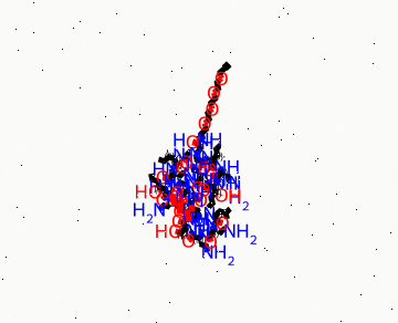 C#CCOCCOCCOCCOCCNC(=O)CN(CC(=O)N[C@H](C(=O)N[C@@H](CCN)C(=O)N[C@H](C(=O)N[C@@H](CCN)C(N)=O)[C@H](O)CCC)[C@@H](C)CC)CC(=O)N[C@H](C(=O)N[C@@H](CCN)C(=O)N[C@H](C(=O)N[C@@H](CCN)C(=O)N[C@@H](CCNC(=O)[C@@H](NC(=O)[C@H](CCN)NC(=O)[C@H](CCN)NC(=O)[C@@H](N)CC(C)C)[C@@H](C)O)C(=O)N[C@@H](CCN)C(=O)N[C@@H](C=O)Cc1ccccc1)[C@H](O)CCC)[C@@H](C)CC